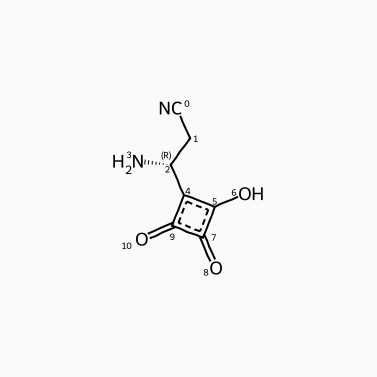 N#CC[C@@H](N)c1c(O)c(=O)c1=O